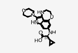 O=C(O)[C@@H](Nc1cc2c3c(c(N4CCOCC4)[nH]c3c1)NCCO2)C1CC1